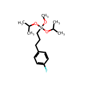 CO[Si](CCCc1ccc(F)cc1)(OC(C)C)OC(C)C